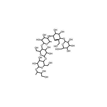 CC(OC1OC(CO)C(OC2OC(CO)C(OC3OC(C)C(NC4C=C(CO)C(OC5OC(CO)C(O)C(O)C5O)C(O)C4O)C(O)C3O)C(O)C2O)C(O)C1O)C(O)CO